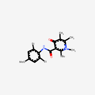 CCCCc1c(C(=O)Nc2c(CC)cc(OC)cc2CC)c(=O)c(C)c(C)n1C